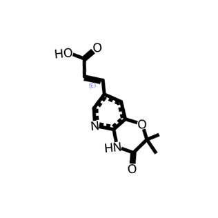 CC1(C)Oc2cc(/C=C/C(=O)O)cnc2NC1=O